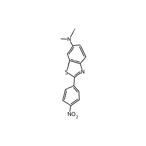 CN(C)c1ccc2nc(-c3ccc([N+](=O)[O-])cc3)sc2c1